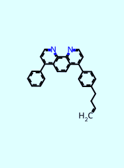 C=CCCc1ccc(-c2ccnc3c2ccc2c(-c4ccccc4)ccnc23)cc1